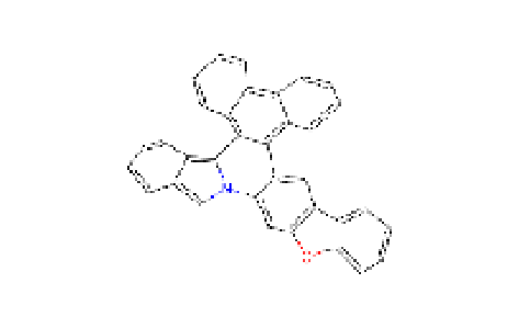 c1ccc2c(c1)cn1c3cc4oc5ccccc5c4cc3c3c4ccccc4c4ccccc4c3c21